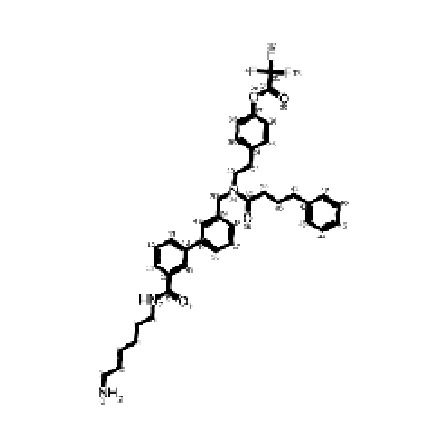 NCCCCCCNC(=O)c1cccc(-c2cccc(CN(CCc3ccc(OC(=O)C(F)(F)F)cc3)C(=O)CCCc3ccccc3)c2)c1